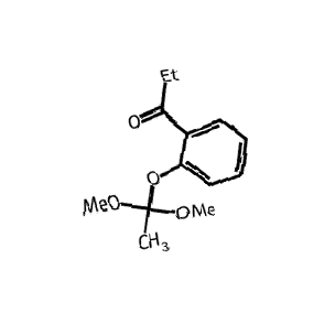 CCC(=O)c1ccccc1OC(C)(OC)OC